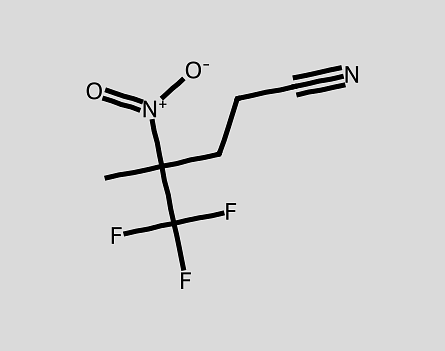 CC(CCC#N)([N+](=O)[O-])C(F)(F)F